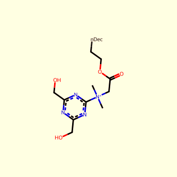 CCCCCCCCCCCCOC(=O)C[N+](C)(C)c1nc(CO)nc(CO)n1